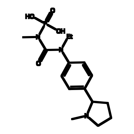 CCN(C(=O)N(C)P(=O)(O)O)c1ccc(C2CCCN2C)cc1